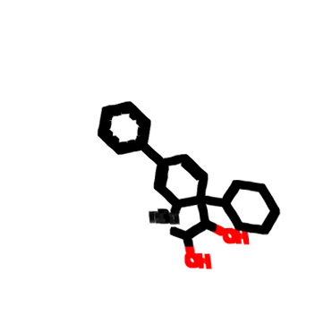 CCCCC1C=C(c2ccccc2)C=CC1(C1CCCCC1)C(O)C(C)O